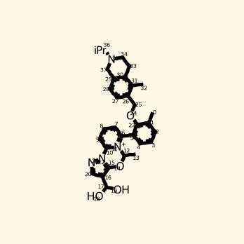 Cc1cccc(-c2cccc3[n+]2C(C)Oc2c(C(O)O)cnn2-3)c1OCc1ccc2c(c1C)CCN(C(C)C)C2